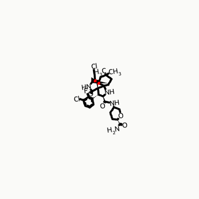 CC1(C)CCC2(CC1)N[C@@H](C(=O)N[C@@H]1CC[C@@H](C(N)=O)OC1)[C@H](c1cccc(Cl)c1F)[C@]21C(=O)Nc2cc(Cl)ccc21